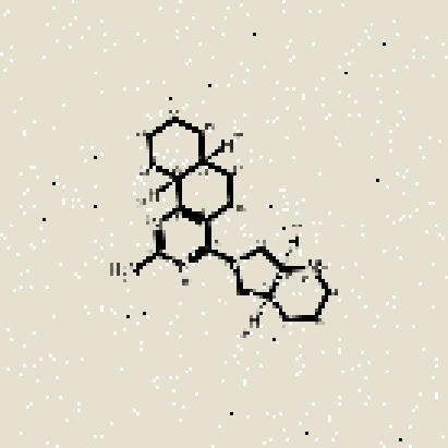 Nc1nc2c(c(N3C[C@@H]4CCCN[C@@H]4C3)n1)CC[C@H]1CCCC[C@@H]21